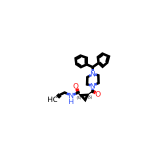 C#CCNC(=O)[C@H]1C[C@@H]1C(=O)N1CCN(C(c2ccccc2)c2ccccc2)CC1